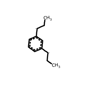 CC[CH]c1cccc([CH]CC)c1